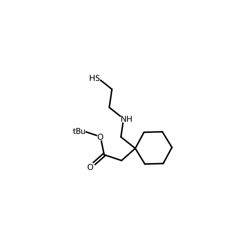 CC(C)(C)OC(=O)CC1(CNCCS)CCCCC1